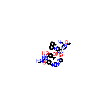 C=CC(=O)N1CCN(c2nc(OC[C@@H]3CC[C@H](CN4CCN(Cc5ccc(-n6c(C(=O)NCC)nnc6-c6cc(C(C)C)c(O)cc6O)cc5)CC4)N3C)nc3c2CCN(c2cccc4cccc(C)c24)C3)C[C@@H]1CC#N